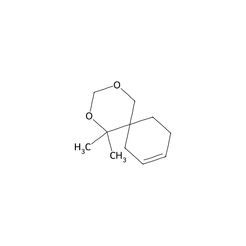 CC1(C)OCOCC12CC=CCC2